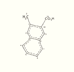 Cc1cc2ccccc2cc1C(=O)O